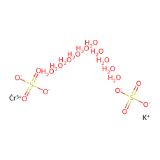 O.O.O.O.O.O.O.O.O.O.O=S(=O)([O-])[O-].O=S(=O)([O-])[O-].[Cr+3].[K+]